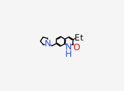 CCc1cc2ccc(CN3CCCC3)cc2[nH]c1=O